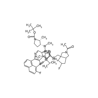 CC(=O)N1CC2CC(F)CC2(COc2nc(N(C)[C@@H]3CCN(C(=O)OC(C)(C)C)[C@@H]3C)c3cnc(-c4cccc5ccc(F)c(C#C[Si](C(C)C)(C(C)C)C(C)C)c45)c(F)c3n2)C1